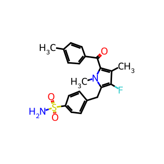 Cc1ccc(C(=O)c2c(C)c(F)c(Cc3ccc(S(N)(=O)=O)cc3)n2C)cc1